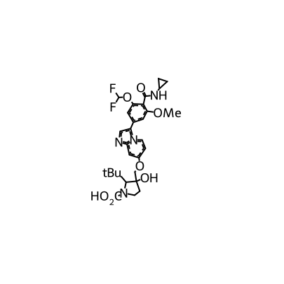 COc1cc(-c2cnc3cc(OCC4(O)CCN(C(=O)O)C4C(C)(C)C)ccn23)cc(OC(F)F)c1C(=O)NC1CC1